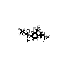 CN(C)CC(C)(C)c1ccc(NC(=O)OC(C)(C)C)cc1C(F)(F)F